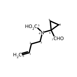 C=CCCN(C(=O)O)C1(C=O)CC1